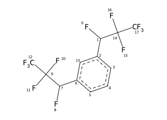 FC(c1cccc(C(F)C(F)(F)C(F)(F)F)c1)C(F)(F)C(F)(F)F